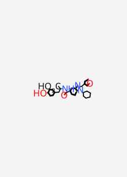 O=C(NC(Cc1ccc(O)cc1)C(=O)O)c1ccc2c(c1)nc(-c1ccoc1)n2C1CCCCC1